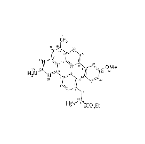 CCOC(=O)[C@@H](N)Cc1ccc(-c2cc(O[C@H](c3ccc(-c4cccc(OC)c4)cc3)C(F)(F)F)nc(N)n2)cc1